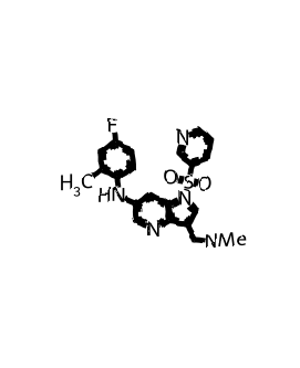 CNCc1cn(S(=O)(=O)c2cccnc2)c2cc(Nc3ccc(F)cc3C)cnc12